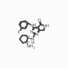 N[C@H]1CCCC[C@H]1Nc1nc2c(c(Nc3cccc(F)c3)n1)C(=O)NC2